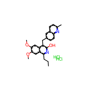 CCCc1nc(O)c(Cc2ccc3nc(C)ccc3c2)c2cc(OC)c(OC)cc12.Cl.Cl